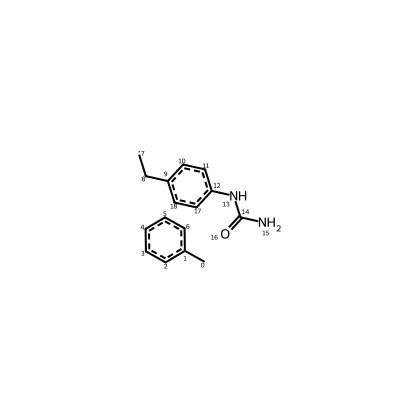 Cc1ccccc1.[CH2]Cc1ccc(NC(N)=O)cc1